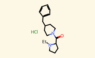 CCN1CCCC1C(=O)N1CCC(Cc2ccccc2)CC1.Cl